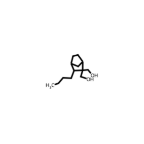 CCCCC1C2CCC(C2)C1(CO)CO